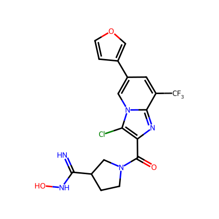 N=C(NO)C1CCN(C(=O)c2nc3c(C(F)(F)F)cc(-c4ccoc4)cn3c2Cl)C1